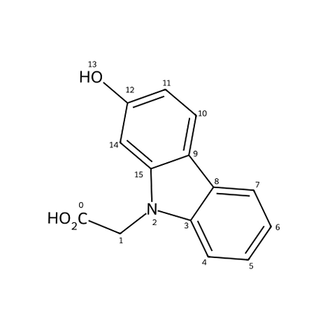 O=C(O)Cn1c2ccccc2c2ccc(O)cc21